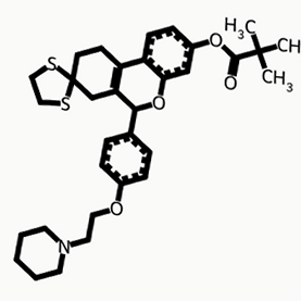 CC(C)(C)C(=O)Oc1ccc2c(c1)OC(c1ccc(OCCN3CCCCC3)cc1)C1=C2CCC2(C1)SCCS2